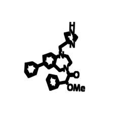 COC(C(=O)N1CCN(Cc2c[nH]cn2)c2ccc(-c3ccccc3)cc2C1)c1ccccc1